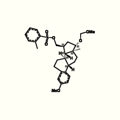 COCO[C@H]1C[C@H](COS(=O)(=O)c2ccccc2C)[C@H]2[C@@H]3CCc4cc(OC)ccc4[C@H]3CC[C@@]21C